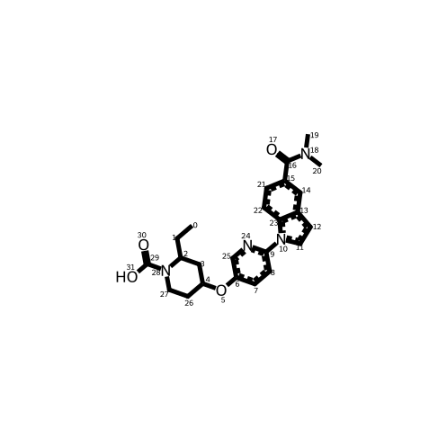 CCC1CC(Oc2ccc(-n3ccc4cc(C(=O)N(C)C)ccc43)nc2)CCN1C(=O)O